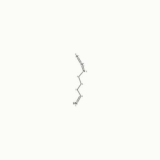 [N-]=[N+]=NCCCC=N